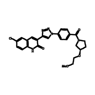 COCCO[C@@H]1CCN(C(=O)c2ccc(-n3cc(-c4cc5cc(Cl)ccc5[nH]c4=O)nn3)cc2)C1